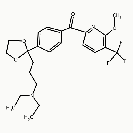 CCN(CC)CCCC1(c2ccc(C(=O)c3ccc(C(F)(F)F)c(OC)n3)cc2)OCCO1